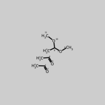 CC=O.CC=O.COC(C)OC